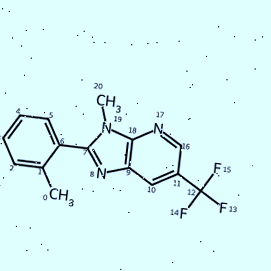 Cc1ccccc1-c1nc2cc(C(F)(F)F)cnc2n1C